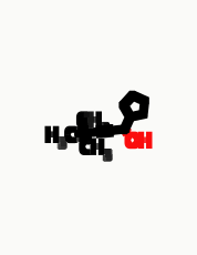 C[Si](C)(C)C#CC(O)C1CCCC1